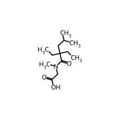 CCC(CC)(CC(C)C)C(=O)N(C)CC(=O)O